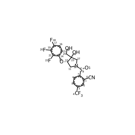 N#Cc1cc(C(F)(F)F)ccc1[S+]([O-])N1C[C@H](Oc2ccc(F)c(F)c2F)C(O)(CO)C1